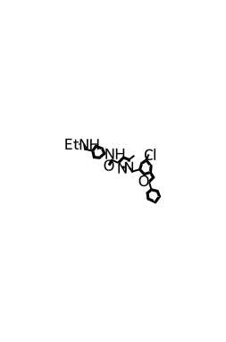 CCNCc1ccc(NC(=O)c2cc(C)n(Cc3cc(Cl)cc4cc(-c5ccccc5)oc34)n2)cc1